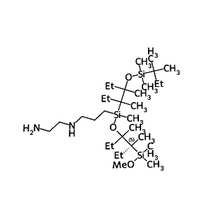 CCC(C)(O[Si](C)(C)C(C)(C)CC)C(C)(CC)[Si](C)(CCCNCCN)OC(C)(CC)[C@](C)(CC)[Si](C)(C)OC